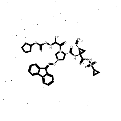 C=C[C@@H]1C[C@]1(NC(=O)[C@@H]1C[C@@H](ON=C2c3ccccc3-c3ccccc32)CN1C(=O)[C@@H](NOC(=O)OC1CCCC1)C(C)C)C(=O)NS(=O)(=O)C1CC1